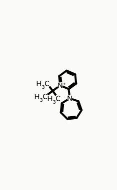 CC(C)(C)[n+]1ccccc1N1C=CC=CC=C1